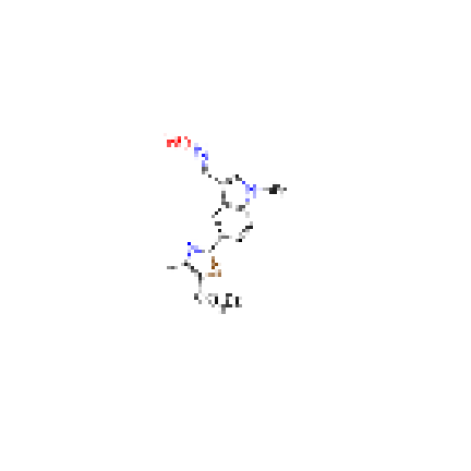 CCOC(=O)c1sc(-c2ccc3c(c2)c(C=NO)cn3C(C)C)nc1C